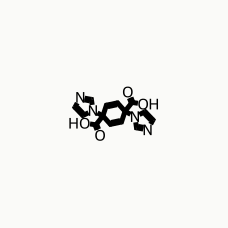 O=C(O)C1(n2ccnc2)C=CC(C(=O)O)(n2ccnc2)C=C1